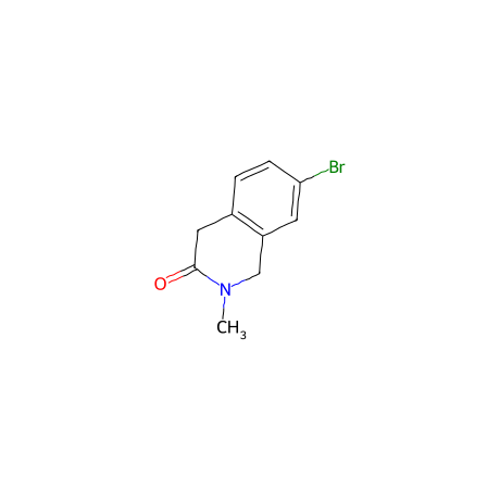 CN1Cc2cc(Br)ccc2CC1=O